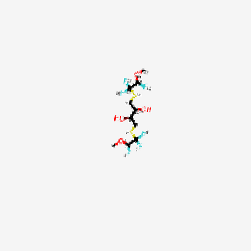 COC(F)C(F)(F)SCC(O)C(O)CSC(F)(F)C(F)OC